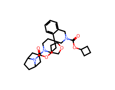 O=C(OC1CCC1)N1Cc2ccccc2C2(CCN(C3CC4CCC(C3)N4C(=O)OC3CCOC3)CC2)C1